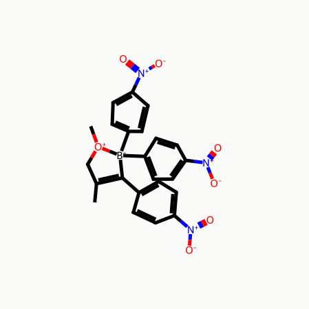 CC1=C(c2ccc([N+](=O)[O-])cc2)[B-](c2ccc([N+](=O)[O-])cc2)(c2ccc([N+](=O)[O-])cc2)[O+](C)C1